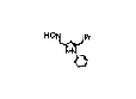 CC(C)Cc1cc(/C=N/O)nn1-c1ccccc1